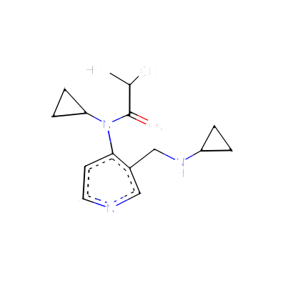 CC(C)C(=O)N(c1ccncc1CNC1CC1)C1CC1